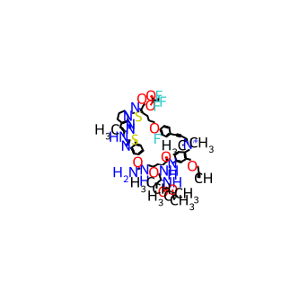 C#CCOCc1cc(NC(=O)[C@H](CCCNC(N)=O)NC(=O)[C@@H](NC(=O)OC(C)(C)C)C(C)C)ccc1C[N+](C)(C)CC#Cc1ccc(OCCCc2sc(N3CCCc4c3nnc(Nc3nc5ccccc5s3)c4C)nc2C(=O)OC(=O)C(F)(F)F)c(F)c1